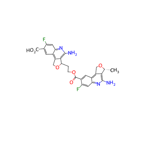 C[C@H]1OCc2c1c(N)nc1cc(F)c(C(=O)OCCC3OCc4c3c(N)nc3cc(F)c(C(=O)O)cc43)cc21